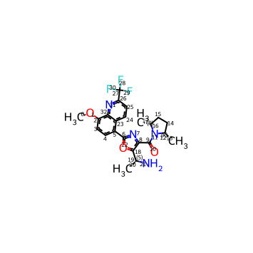 COc1ccc(-c2nc(C(=O)N3[C@H](C)CC[C@H]3C)c([C@H](C)N)o2)c2ccc(C(F)(F)F)nc12